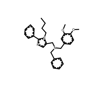 CCCCn1c(CN(Cc2ccccc2)Cc2ccc(OC)c(OC)c2)cnc1-c1ccccc1